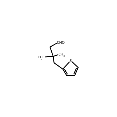 CC(C)(CC=O)Cc1cccs1